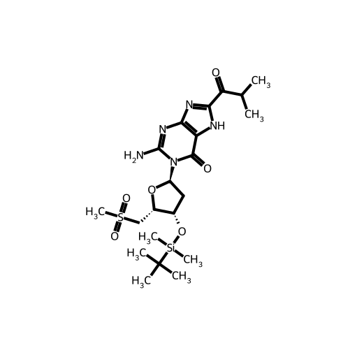 CC(C)C(=O)c1nc2nc(N)n([C@H]3C[C@H](O[Si](C)(C)C(C)(C)C)[C@H](CS(C)(=O)=O)O3)c(=O)c2[nH]1